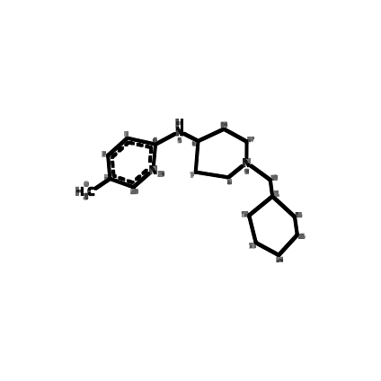 Cc1ccc(NC2CCN(CC3CCCCC3)CC2)nc1